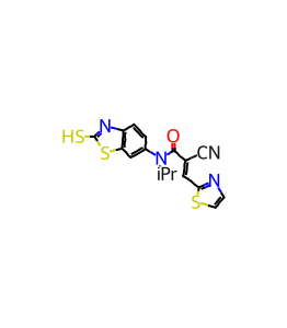 CC(C)N(C(=O)C(C#N)=Cc1nccs1)c1ccc2nc(S)sc2c1